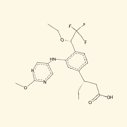 CCO[C@@H](c1ccc([C@@H](CC)CC(=O)O)cc1Nc1cnc(OC)nc1)C(F)(F)F